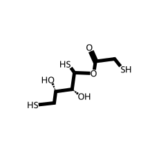 O=C(CS)OC(S)[C@H](O)[C@@H](O)CS